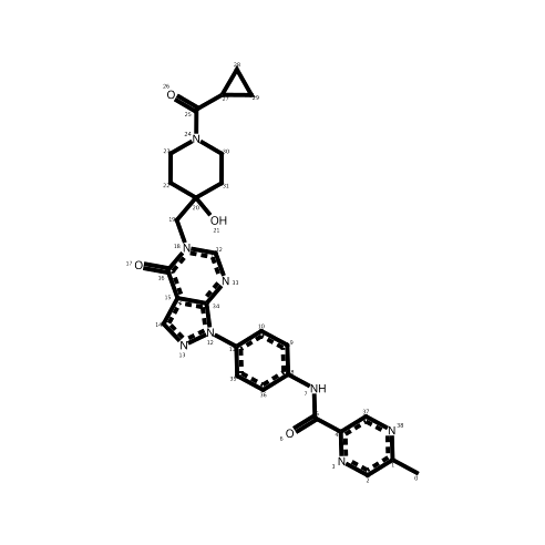 Cc1cnc(C(=O)Nc2ccc(-n3ncc4c(=O)n(CC5(O)CCN(C(=O)C6CC6)CC5)cnc43)cc2)cn1